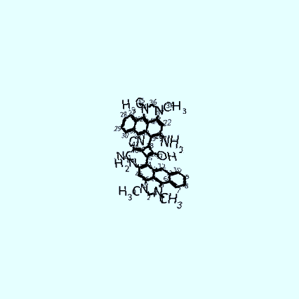 CN1CN(C)c2c3ccccc3cc3c(C4=C(O)C(c5c(N)cc6c7c(c8ccccc8cc57)N(C)CN6C)C4=C(C#N)C#N)c(N)cc1c23